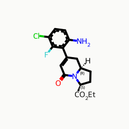 CCOC(=O)[C@@H]1CC[C@@H]2CC(c3c(N)ccc(Cl)c3F)=CC(=O)N21